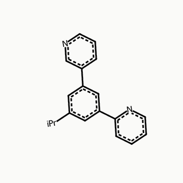 CC(C)c1cc(-c2cccnc2)cc(-c2ccccn2)c1